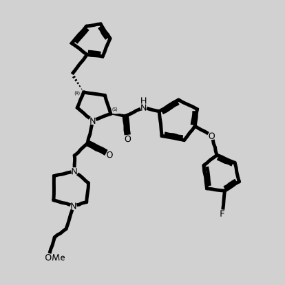 COCCN1CCN(CC(=O)N2C[C@H](Cc3ccccc3)C[C@H]2C(=O)Nc2ccc(Oc3ccc(F)cc3)cc2)CC1